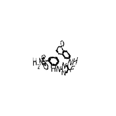 NS(=O)(=O)c1cccc(Nc2ncc(F)c(Nc3ccc4c(c3)CCCC4=O)n2)c1